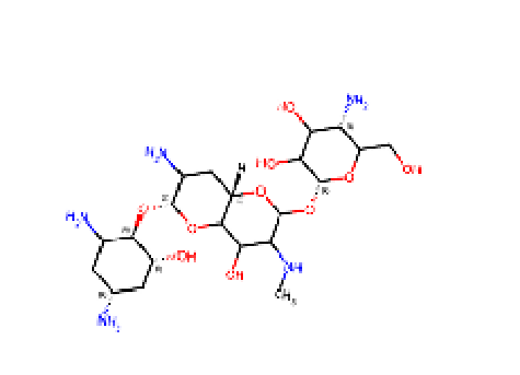 CNC1C(O[C@H]2OC(CO)[C@@H](N)C(O)C2O)O[C@H]2CC(N)[C@@H](O[C@@H]3C(N)C[C@@H](N)C[C@H]3O)OC2C1O